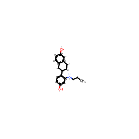 CCCNc1cc(O)ccc1C1CCc2cc(O)ccc2C1